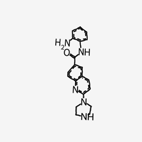 Nc1ccccc1NC(=O)c1ccc2nc(N3CCNCC3)ccc2c1